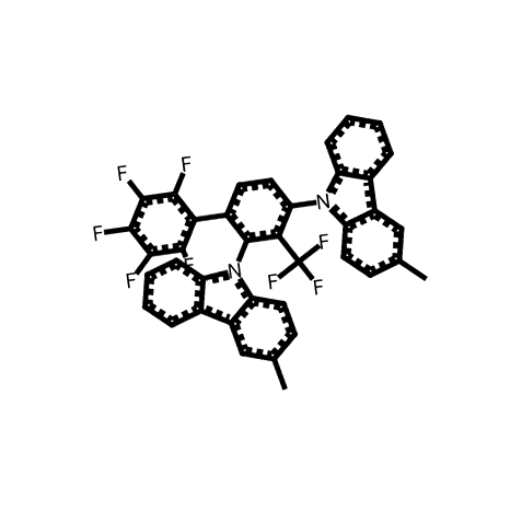 Cc1ccc2c(c1)c1ccccc1n2-c1ccc(-c2c(F)c(F)c(F)c(F)c2F)c(-n2c3ccccc3c3cc(C)ccc32)c1C(F)(F)F